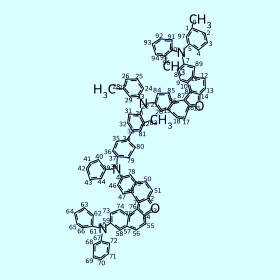 Cc1cccc(N(c2ccc3c(ccc4oc5ccc6cc(N(c7cccc(C)c7)c7ccc(-c8ccc(N(c9ccccc9)c9ccc%10c(ccc%11oc%12ccc%13cc(N(c%14ccccc%14)c%14ccccc%14)ccc%13c%12c%11%10)c9)cc8)cc7C)ccc6c5c43)c2)c2ccccc2C)c1